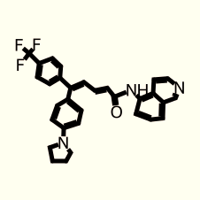 O=C(/C=C/C=C(\c1ccc(N2CCCC2)cc1)c1ccc(C(F)(F)F)cc1)Nc1cccc2cnccc12